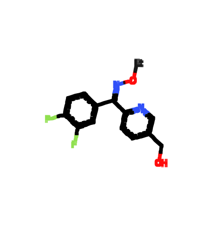 CCON=C(c1ccc(F)c(F)c1)c1ccc(CO)cn1